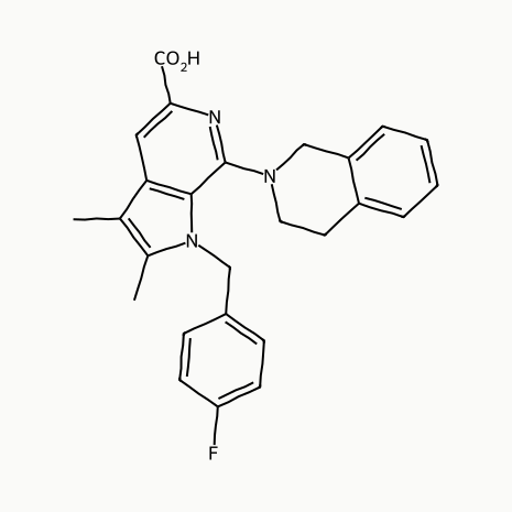 Cc1c(C)n(Cc2ccc(F)cc2)c2c(N3CCc4ccccc4C3)nc(C(=O)O)cc12